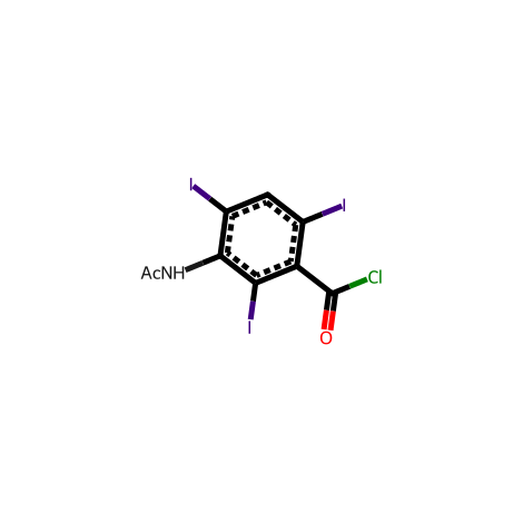 CC(=O)Nc1c(I)cc(I)c(C(=O)Cl)c1I